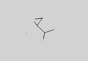 CCC(O)[C@]1(O)CO1